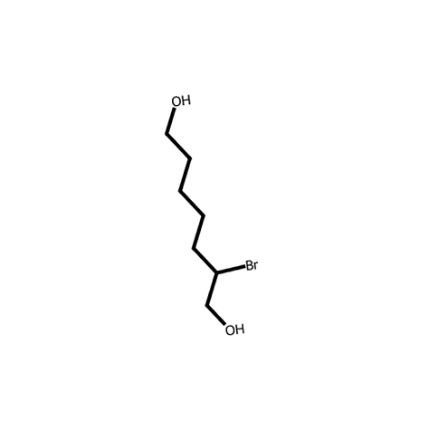 OCCCCCC(Br)CO